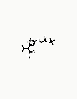 COC(=O)C(c1cc(OCC(=O)OC(C)(C)C)no1)C(C)C